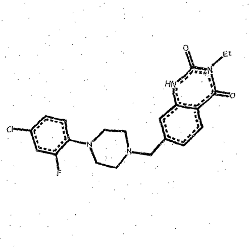 CCn1c(=O)[nH]c2cc(CN3CCN(c4ccc(Cl)cc4F)CC3)ccc2c1=O